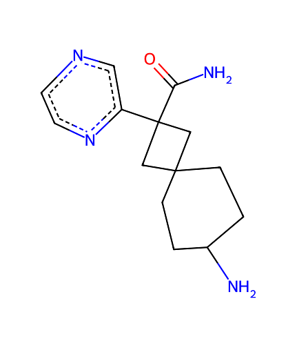 NC(=O)C1(c2cnccn2)CC2(CCC(N)CC2)C1